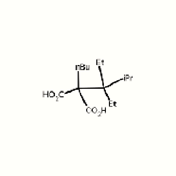 CCCCC(C(=O)O)(C(=O)O)C(CC)(CC)C(C)C